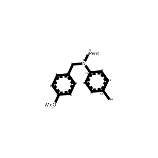 CCCC(C)N(Cc1ccc(OC)cc1)c1ccc(C)cc1